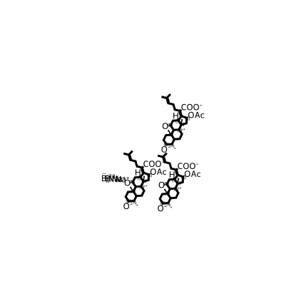 CC(=O)O[C@H]1C[C@@]2(C)[C@H](C[C@@H]([O-])C3[C@@]4(C)CC[C@@H]([O-])[C@@H](C)C4CC[C@@]32C)C1=C(CCC=C(C)C)C(=O)[O-].CC(=O)O[C@H]1C[C@@]2(C)[C@H](C[C@@H]([O-])C3[C@@]4(C)CC[C@@H]([O-])[C@@H](C)C4CC[C@@]32C)C1=C(CCC=C(C)C)C(=O)[O-].CC(=O)O[C@H]1C[C@@]2(C)[C@H](C[C@@H]([O-])C3[C@@]4(C)CC[C@@H]([O-])[C@@H](C)C4CC[C@@]32C)C1=C(CCC=C(C)C)C(=O)[O-].[Bi+3].[Bi+3].[Na+].[Na+].[Na+]